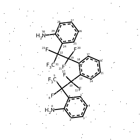 Nc1ccccc1C(F)(C(F)(F)F)C(F)(F)c1ccccc1C(F)(F)C(F)(c1ccccc1N)C(F)(F)F